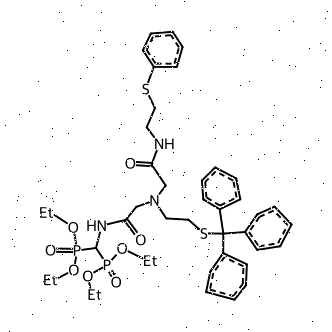 CCOP(=O)(OCC)C(NC(=O)CN(CCSC(c1ccccc1)(c1ccccc1)c1ccccc1)CC(=O)NCCSc1ccccc1)P(=O)(OCC)OCC